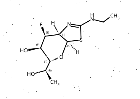 CCNC1=N[C@@H]2[C@H](F)[C@H](O)[C@@H]([C@@H](C)O)O[C@@H]2S1